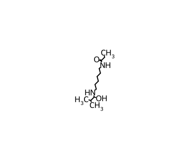 CCC(=O)NCCCCCCNC(O)C(C)C